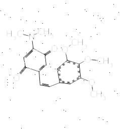 COc1cc(/C=C\C2=CC(=O)C(N(C)C)=CC2=O)cc(OC)c1OC